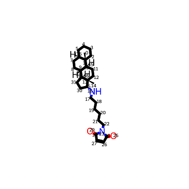 C[C@]12CCCC[C@@H]1CC[C@@H]1[C@@H]2CC[C@]2(C)[C@@H](NCCCCCCN3C(=O)C=CC3=O)CC[C@@H]12